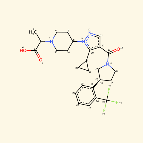 CC(C(=O)O)N1CCC(n2ncc(C(=O)N3CC[C@@H](c4ccccc4C(F)(F)F)C3)c2C2CC2)CC1